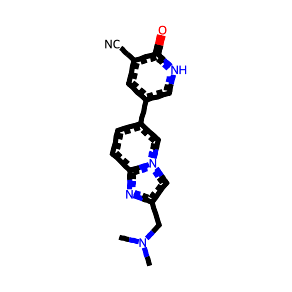 CN(C)Cc1cn2cc(-c3c[nH]c(=O)c(C#N)c3)ccc2n1